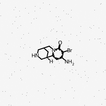 Nc1cc2n(c(=O)c1Br)CC1CNC[C@@H]2C1